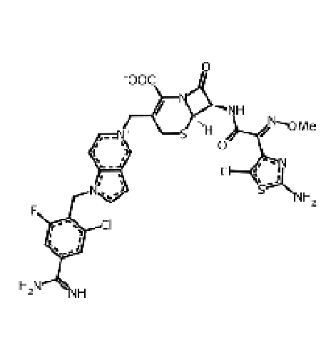 CON=C(C(=O)N[C@@H]1C(=O)N2C(C(=O)[O-])=C(C[n+]3ccc4c(ccn4Cc4c(F)cc(C(=N)N)cc4Cl)c3)CS[C@H]12)c1nc(N)sc1Cl